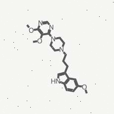 COc1ccc2[nH]cc(CCCN3CCN(c4ncnc(OC)c4OC)CC3)c2c1